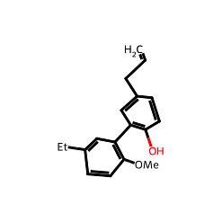 C=CCc1ccc(O)c(-c2cc(CC)ccc2OC)c1